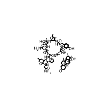 CC[C@H](C)[C@H]1NC(=O)[C@@H](Cc2ccc(O)cc2)NC(=O)[C@@H](N)CSSC[C@@H](C(=O)N2CCC[C@@H]2C(=O)N[C@H](CC(C)C)C(=O)NCC(N)=O)NC(=O)[C@H](CC(N)=O)NC(=O)[C@@H]([C@@H](C)O)NC1=O.C[C@]1(O)CC[C@H]2[C@@H]3CCC4=CC(=O)CC[C@@H]4[C@H]3CC[C@@]21C